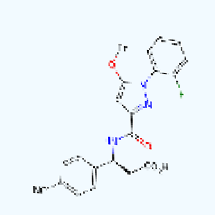 CCOc1cc(C(=O)N[C@@H](CC(=O)O)c2ccc(C#N)cc2)nn1-c1ccccc1F